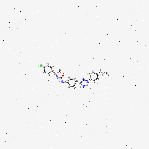 FC(F)(F)Cc1ccc(-n2cnc(-c3ccc(NC4=NC(c5ccc(Cl)cc5)CO4)cc3)n2)cc1